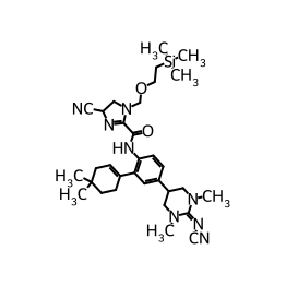 CN1CC(c2ccc(NC(=O)C3=NC(C#N)CN3COCC[Si](C)(C)C)c(C3=CCC(C)(C)CC3)c2)CN(C)C1=NC#N